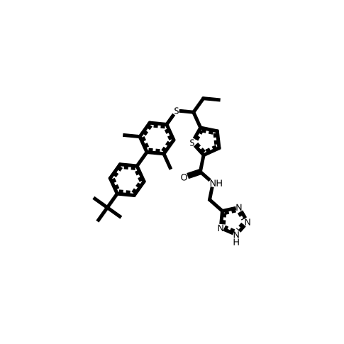 CCC(Sc1cc(C)c(-c2ccc(C(C)(C)C)cc2)c(C)c1)c1ccc(C(=O)NCc2nn[nH]n2)s1